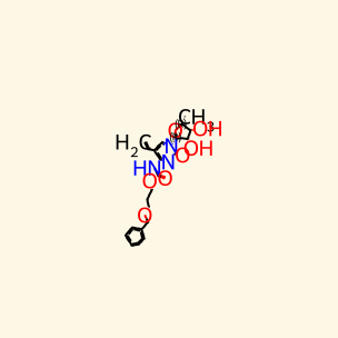 C=Cc1cn([C@@H]2O[C@H](C)C(O)C2O)c(=O)nc1NC(=O)OCCCOCc1ccccc1